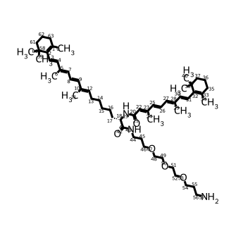 CC1=C(/C=C/C(C)=C/C=C/C(C)=C/CCCCC[C@H](NC(=O)/C=C(C)/C=C/C=C(C)/C=C/C2=C(C)CCCC2(C)C)C(=O)NCCCOCCOCCOCCCN)C(C)(C)CCC1